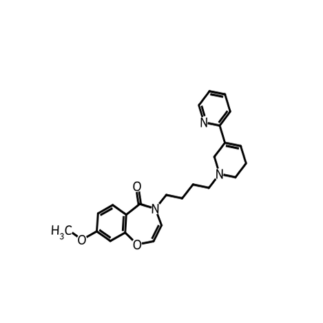 COc1ccc2c(c1)OC=CN(CCCCN1CCC=C(c3ccccn3)C1)C2=O